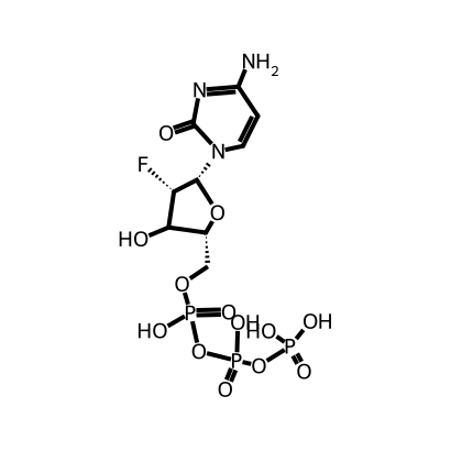 Nc1ccn([C@@H]2O[C@H](COP(=O)(O)OP(=O)(O)OP(=O)(O)O)C(O)[C@@H]2F)c(=O)n1